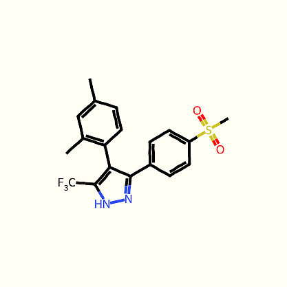 Cc1ccc(-c2c(-c3ccc(S(C)(=O)=O)cc3)n[nH]c2C(F)(F)F)c(C)c1